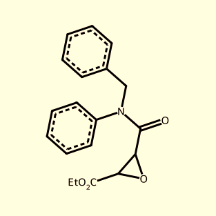 CCOC(=O)C1OC1C(=O)N(Cc1ccccc1)c1ccccc1